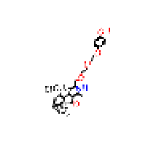 CCOC(=O)C1=C(COCCOCCOc2ccc(O)cc2)NC(C)=C(C(=O)OC)C1c1cccc([N+](=O)[O-])c1